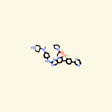 CN(c1ccc(Nc2ncc3cc(-c4ccc(-c5cnccn5)cc4Cl)c(=O)n(CC(=O)N4CCCC4)c3n2)cc1)C1CCNCC1